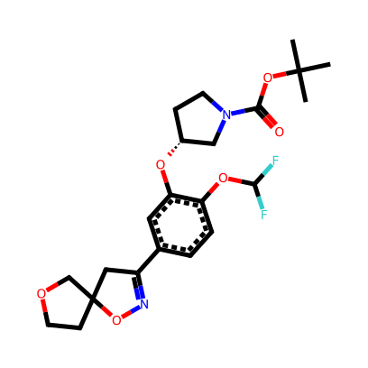 CC(C)(C)OC(=O)N1CC[C@@H](Oc2cc(C3=NOC4(CCOC4)C3)ccc2OC(F)F)C1